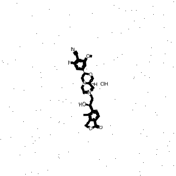 COc1cc([C@H]2CN3CCN(C[C@H](O)c4ccc5c(c4C)COC5=O)C[C@@H]3CO2)cc(F)c1C#N.Cl